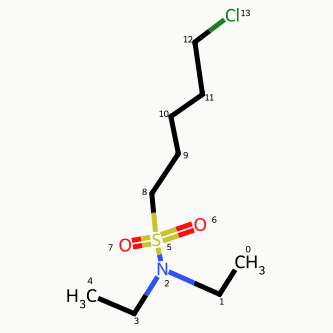 CCN(CC)S(=O)(=O)CCCCCCl